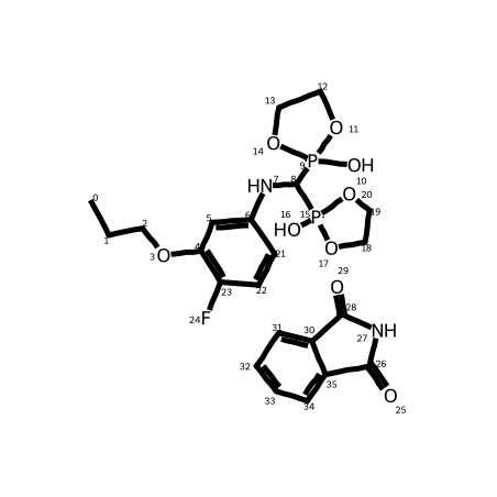 CCCOc1cc(NC([P]2(O)OCCO2)[P]2(O)OCCO2)ccc1F.O=C1NC(=O)c2ccccc21